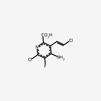 Nc1c(F)c(Cl)nc(C(=O)O)c1C=CCl